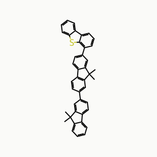 CC1(C)c2ccccc2-c2ccc(-c3ccc4c(c3)C(C)(C)c3cc(-c5cccc6c5sc5ccccc56)ccc3-4)cc21